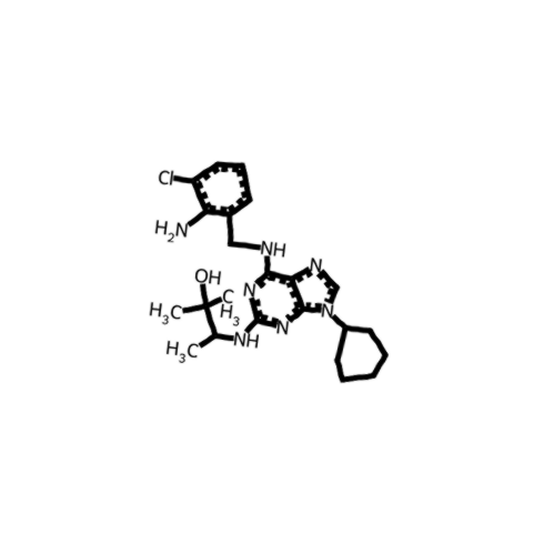 CC(Nc1nc(NCc2cccc(Cl)c2N)c2ncn(C3CCCCC3)c2n1)C(C)(C)O